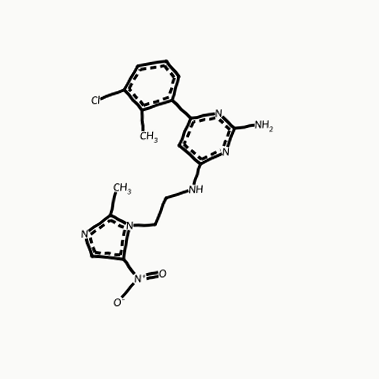 Cc1c(Cl)cccc1-c1cc(NCCn2c([N+](=O)[O-])cnc2C)nc(N)n1